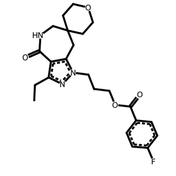 CCc1nn(CCCOC(=O)c2ccc(F)cc2)c2c1C(=O)NCC1(CCOCC1)C2